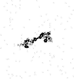 COC(=O)N[C@@H](C(=O)N1[C@@H]2C[C@@H]2C[C@H]1c1nc(-c2ccc(C#Cc3ccc4c(ccc5nc([C@@H]6C[C@H]7C[C@H]7N6C(=O)[C@H](NC(=O)O)c6ccccc6)[nH]c54)c3)cc2)c[nH]1)c1ccccc1